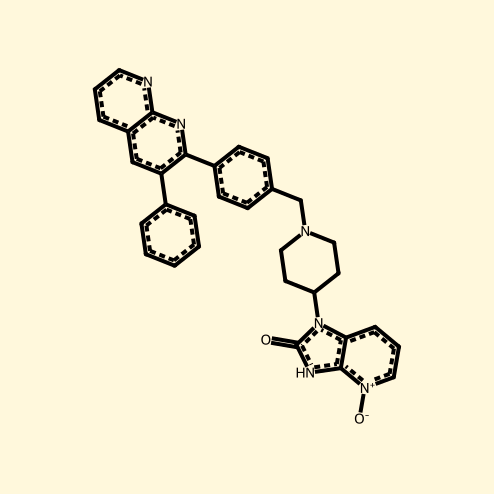 O=c1[nH]c2c(ccc[n+]2[O-])n1C1CCN(Cc2ccc(-c3nc4ncccc4cc3-c3ccccc3)cc2)CC1